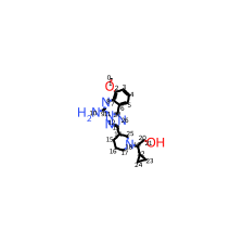 COc1cccc2c1nc(N)n1nc(C3CCCN(C(CO)C4CC4)C3)nc21